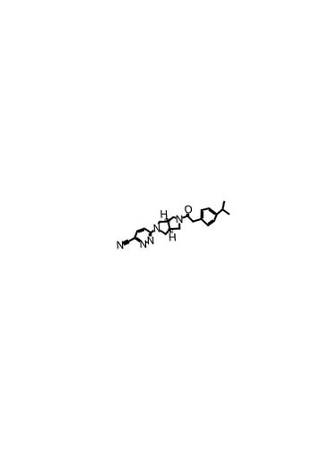 CC(C)c1ccc(CC(=O)N2C[C@@H]3CN(c4ccc(C#N)nn4)C[C@@H]3C2)cc1